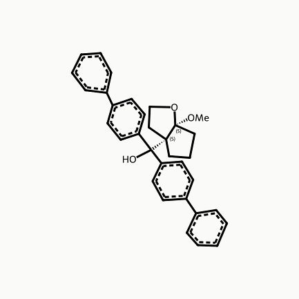 CO[C@]12CCC[C@@]1(C(O)(c1ccc(-c3ccccc3)cc1)c1ccc(-c3ccccc3)cc1)CCO2